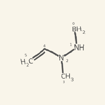 BNN(C)C=C